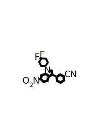 N#Cc1cccc(-c2cn(C3CCC(F)(F)CC3)c3cc([N+](=O)[O-])ccc23)c1